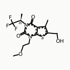 COCCn1c(=O)n([C@H](C)C(F)(F)F)c(=O)c2c(C)c(CO)sc21